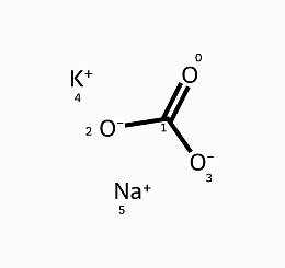 O=C([O-])[O-].[K+].[Na+]